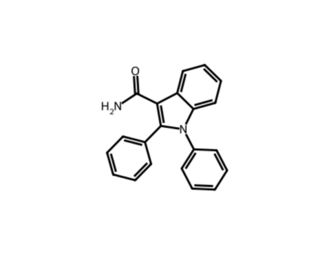 NC(=O)c1c(-c2ccccc2)n(-c2ccccc2)c2ccccc12